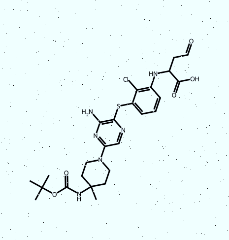 CC1(NC(=O)OC(C)(C)C)CCN(c2cnc(Sc3cccc(NC(CC=O)C(=O)O)c3Cl)c(N)n2)CC1